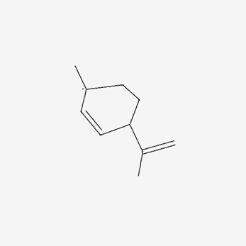 C=C(C)C1C=C[C](C)CC1